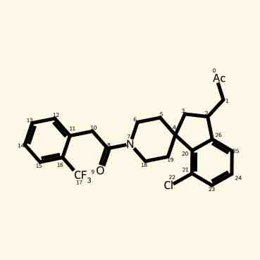 CC(=O)CC1CC2(CCN(C(=O)Cc3ccccc3C(F)(F)F)CC2)c2c(Cl)cccc21